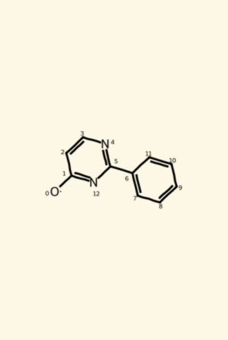 [O]c1ccnc(-c2ccccc2)n1